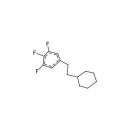 Fc1cc(CCC2CCCCC2)cc(F)c1F